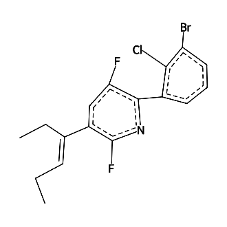 CCC=C(CC)c1cc(F)c(-c2cccc(Br)c2Cl)nc1F